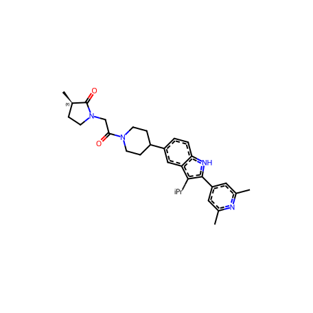 Cc1cc(-c2[nH]c3ccc(C4CCN(C(=O)CN5CC[C@@H](C)C5=O)CC4)cc3c2C(C)C)cc(C)n1